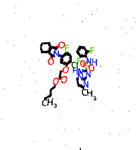 CC1=CCN2NC(S(=O)(=O)Nc3c(F)cccc3F)=NC2=N1.CCCCCOC(=O)COc1cc(N2C(=O)C3=C(CCCC3)C2=O)c(F)cc1Cl